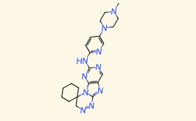 CN1CCN(c2ccc(Nc3ncc4nc5n(c4n3)C3(CCCCC3)CN=N5)nc2)CC1